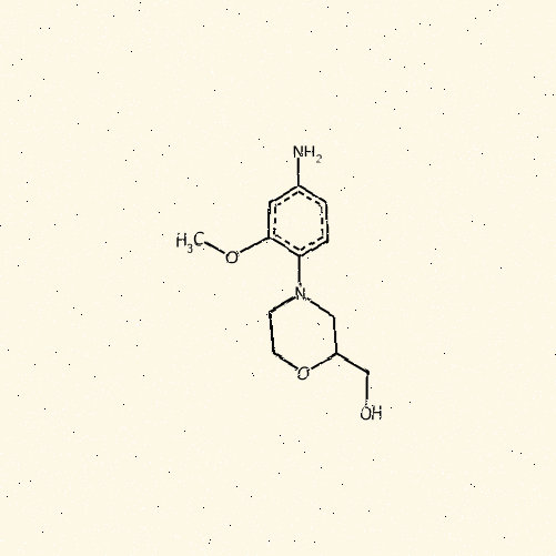 COc1cc(N)ccc1N1CCOC(CO)C1